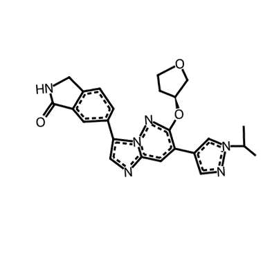 CC(C)n1cc(-c2cc3ncc(-c4ccc5c(c4)C(=O)NC5)n3nc2O[C@H]2CCOC2)cn1